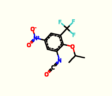 CC(C)Oc1c(N=C=O)cc([N+](=O)[O-])cc1C(F)(F)F